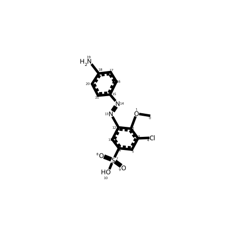 COc1c(Cl)cc(S(=O)(=O)O)cc1N=Nc1ccc(N)cc1